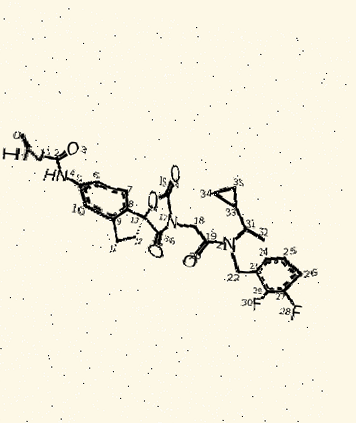 CNC(=O)Nc1ccc2c(c1)CC[C@@]21OC(=O)N(CC(=O)N(Cc2cccc(F)c2F)C(C)C2CC2)C1=O